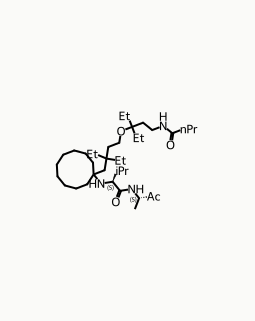 CCCC(=O)NCCC(CC)(CC)OCCC(CC)(CC)CC1(N[C@H](C(=O)N[C@@H](C)C(C)=O)C(C)C)CCCCCCCCC1